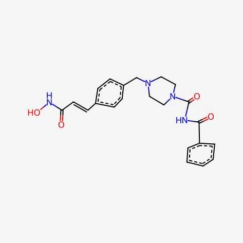 O=C(C=Cc1ccc(CN2CCN(C(=O)NC(=O)c3ccccc3)CC2)cc1)NO